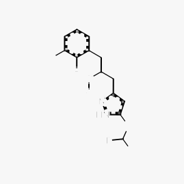 O=COC(Cc1cc(OC(F)F)[nH]n1)Cc1cccc(F)c1F